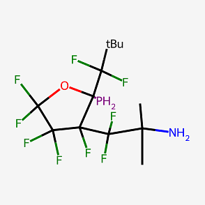 CC(C)(C)C(F)(F)C1(P)OC(F)(F)C(F)(F)C1(F)C(F)(F)C(C)(C)N